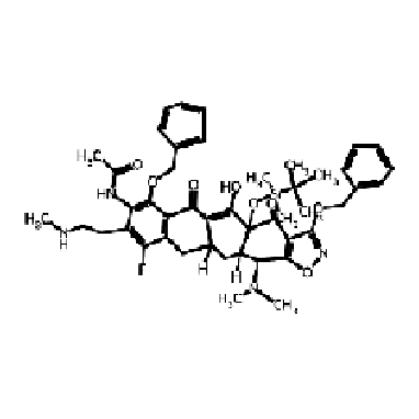 CNCCc1c(F)c2c(c(OCc3ccccc3)c1NC(C)=O)C(=O)C1=C(O)[C@]3(O[Si](C)(C)C(C)(C)C)C(=O)c4c(OCc5ccccc5)noc4[C@@H](N(C)C)[C@@H]3C[C@@H]1C2